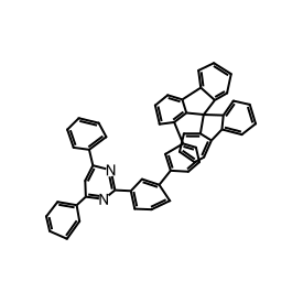 c1ccc(-c2cc(-c3ccccc3)nc(-c3cccc(-c4cccc(-c5cccc6c5C5(c7ccccc7-c7ccccc75)c5ccccc5-6)c4)c3)n2)cc1